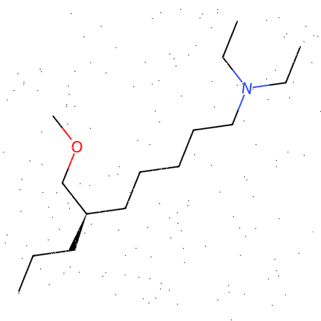 CCC[C@H](CCCCCN(CC)CC)COC